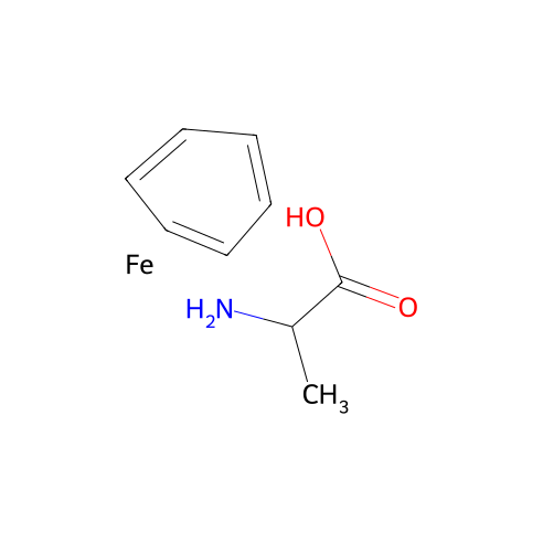 CC(N)C(=O)O.[Fe].c1ccccc1